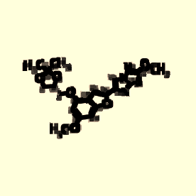 COc1cc(OC[C@@H]2COC(C)(C)O2)c2cc(-c3cn4nc(OC)sc4n3)oc2c1